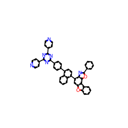 c1ccc(-c2nc3c(-c4ccc(-c5ccc(-c6nc(-c7ccncc7)nc(-c7ccncc7)n6)cc5)c5ccccc45)cc4oc5ccccc5c4c3o2)cc1